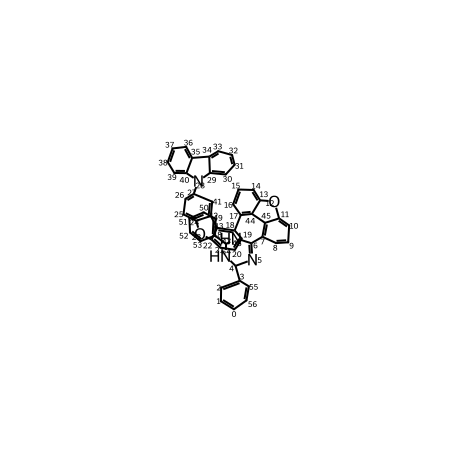 c1ccc(C2N=C(c3cccc4oc5cccc(-c6cccc7oc8ccc(-n9c%10ccccc%10c%10ccccc%109)cc8c67)c5c34)NC(c3ccccc3)N2)cc1